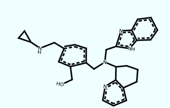 OCc1cc(CNC2CC2)ccc1CN(Cc1nc2ccccc2[nH]1)C1CCCc2cccnc21